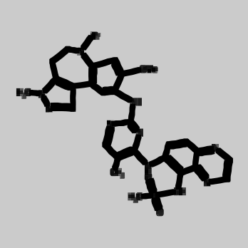 COc1cc2c(cc1Nc1ncc(C)c(Nc3ccc4nccnc4c3NS(C)(=O)=O)n1)-c1cnn(C)c1CCN2C(C)C